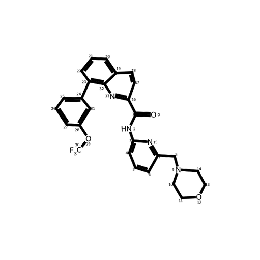 O=C(Nc1cccc(CN2CCOCC2)n1)c1ccc2cccc(-c3cccc(OC(F)(F)F)c3)c2n1